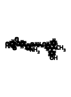 CCC(=C(c1ccc(O)cc1)c1ccc(OCCCCCOc2cc(-c3ccc4c(c3)CN(C3CCC(=O)NC3=O)C4=O)ccc2N)cc1)c1ccccc1